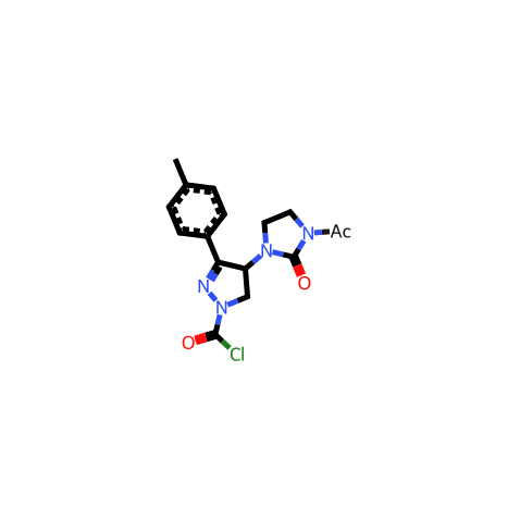 CC(=O)N1CCN(C2CN(C(=O)Cl)N=C2c2ccc(C)cc2)C1=O